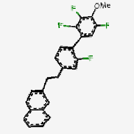 COc1c(F)cc(-c2ccc(CCc3ccc4ccccc4c3)cc2F)c(F)c1F